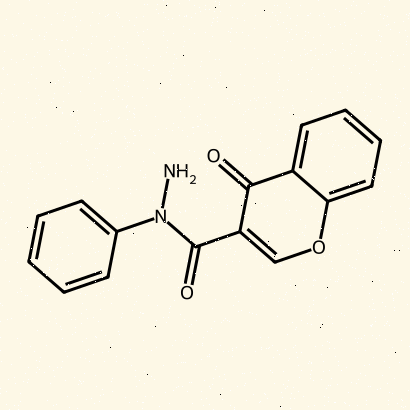 NN(C(=O)c1coc2ccccc2c1=O)c1ccccc1